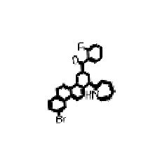 O=C(c1ccccc1F)C1C=c2c(ccc3c2=CCc2ccc(Br)cc2-3)C(C2=CC=CC=CN2)C1